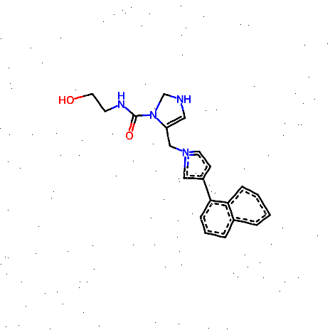 O=C(NCCO)N1CNC=C1Cn1ccc(-c2cccc3ccccc23)c1